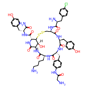 NCCCC[C@@H]1NC(=O)[C@@H](Cc2ccc(NC(=O)CN)cc2)NC(=O)[C@H](Cc2ccc(O)cc2)NC(=O)[C@H](NC(=O)[C@@H](N)Cc2ccc(Cl)cc2)CSSC2[C@@H](C(=O)N[C@H](Cc3ccc(O)cc3)C(N)=O)NC(=O)[C@@H](NC1=O)[C@@H]2O